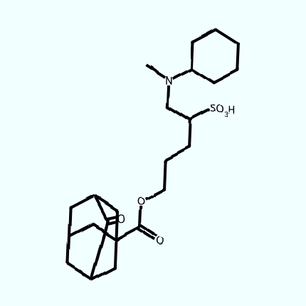 CN(CC(CCCOC(=O)C12CC3CC(C1)C(=O)C(C3)C2)S(=O)(=O)O)C1CCCCC1